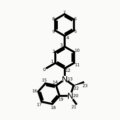 Cc1cc(-c2ccccc2)ccc1N1c2ccccc2N(C)[C@@H]1C